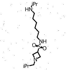 CC(C)CN1CC(S(=O)(=O)NCCCCCCNC(C)C)C1